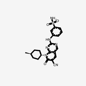 C[C@H]1CC[C@H](n2c(=O)c(C#N)cc3cnc(Nc4cccc(S(N)(=O)=O)c4)nc32)CC1